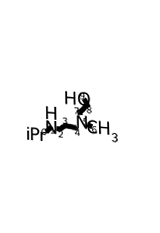 CC(C)NCCCN(C)CCO